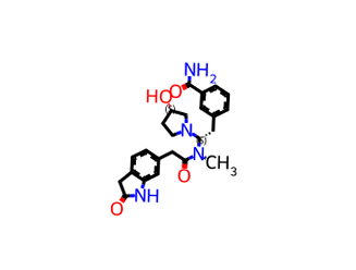 CN(C(=O)Cc1ccc2c(c1)NC(=O)C2)[C@@H](Cc1cccc(C(N)=O)c1)N1CC[C@H](O)C1